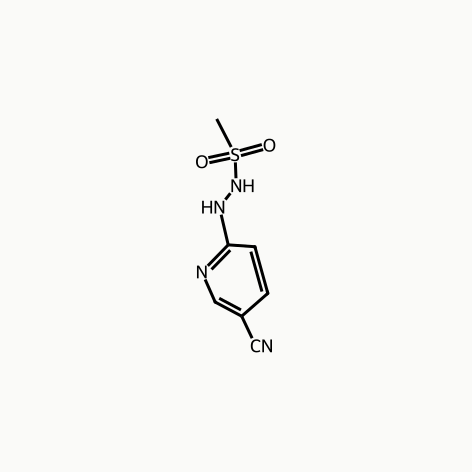 CS(=O)(=O)NNc1ccc(C#N)cn1